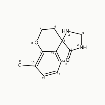 O=C1NCNC12CCOc1c(Cl)cccc12